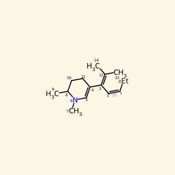 CC/C=C\C(C1=CN(C)C(C)CC1)=C(C)C